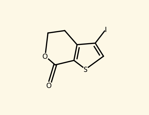 O=C1OCCc2c(I)csc21